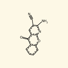 N#Cc1cc2c(=O)c3ccccc3oc2nc1N